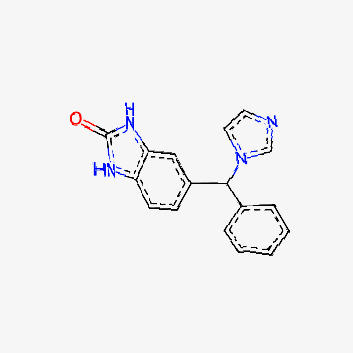 O=c1[nH]c2ccc(C(c3ccccc3)n3ccnc3)cc2[nH]1